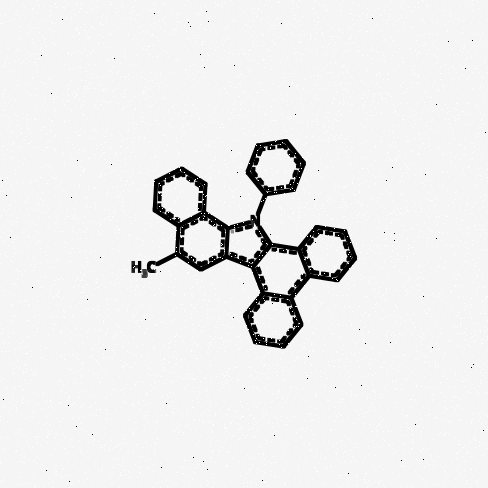 Cc1cc2c3c4ccccc4c4ccccc4c3n(-c3ccccc3)c2c2ccccc12